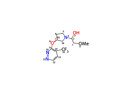 COCC(O)N1CC[C@H](Oc2nnccc2C(F)(F)F)C1